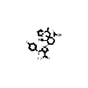 CC(CC1(C)[C@H](C#N)[C@@H](n2cc(C(N)=O)c(Nc3ccc(F)cc3)n2)CCN1C(=O)O)n1cccn1